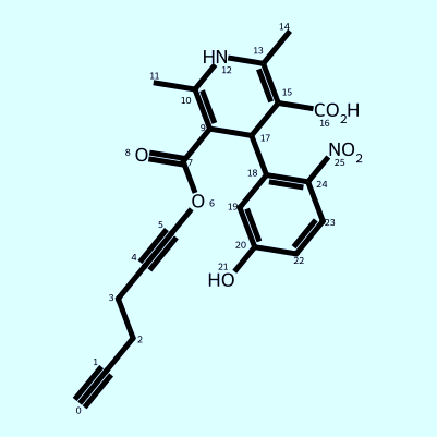 C#CCCC#COC(=O)C1=C(C)NC(C)=C(C(=O)O)C1c1cc(O)ccc1[N+](=O)[O-]